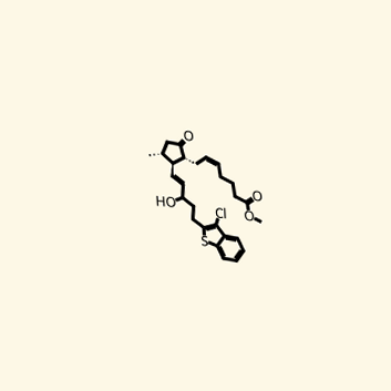 COC(=O)CCC/C=C\C[C@H]1C(=O)C[C@@H](C)[C@@H]1/C=C/C(O)CCc1sc2ccccc2c1Cl